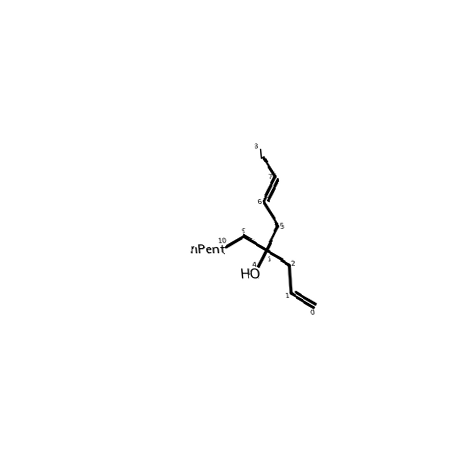 C=CCC(O)(C/C=C/I)CCCCCC